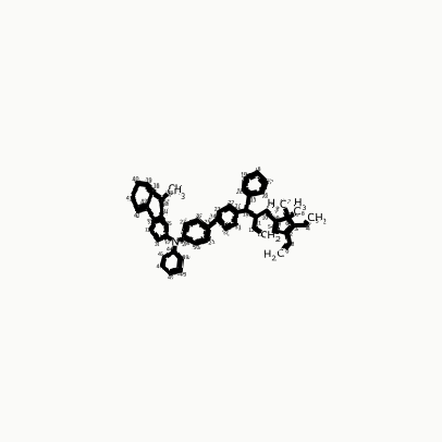 C=CC1=C(C=C)C(C)(C)C(CC(C=C)C(c2ccccc2)c2ccc(-c3ccc(N(c4ccc5c(c4)C(C)C4=CCCC=C45)C4C=CC=CC4)cc3)cc2)=C1